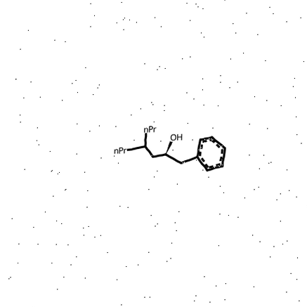 CCCC(CCC)C[C@@H](O)Cc1ccccc1